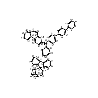 c1ccc(-c2ccc(-c3ccc(N(c4ccc(-c5cccc6c5-c5ccccc5C65C6CC7CC(C6)CC5C7)cc4)c4ccc5c(ccc6ccccc65)c4)cc3)cc2)cc1